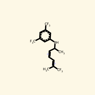 C/C(=C\C=C/C(C)Bc1cc(C(F)(F)F)cc(C(F)(F)F)c1)C(F)(F)F